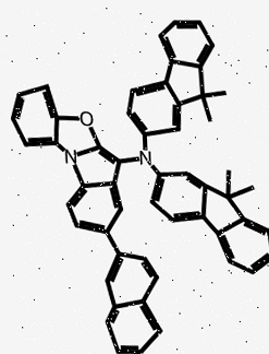 CC1(C)c2ccccc2-c2ccc(N(c3ccc4c(c3)C(C)(C)c3ccccc3-4)c3c4cc(-c5ccc6ccccc6c5)ccc4n4c3oc3ccccc34)cc21